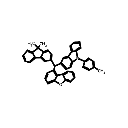 Cc1ccc(-n2c3ccccc3c3cc(C(c4ccc5c(c4)-c4ccccc4C5(C)C)c4cccc5oc6ccccc6c45)ccc32)cc1